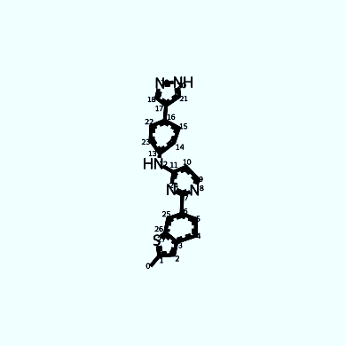 Cc1cc2ccc(-c3nccc(Nc4ccc(-c5cn[nH]c5)cc4)n3)cc2s1